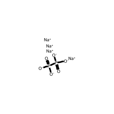 O=P([O-])([O-])P(=O)([O-])[O-].[Na+].[Na+].[Na+].[Na+]